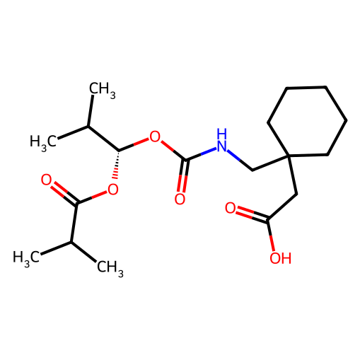 CC(C)C(=O)O[C@@H](OC(=O)NCC1(CC(=O)O)CCCCC1)C(C)C